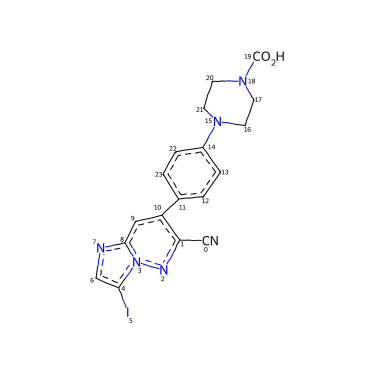 N#Cc1nn2c(I)cnc2cc1-c1ccc(N2CCN(C(=O)O)CC2)cc1